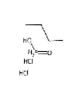 CCCC.Cl.Cl.O=[PH2]O